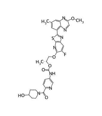 COc1cnc2c(-c3nc4cc(F)c(OC[C@@H](C)OC(=O)Nc5ccc(C(=O)N6CCC(O)CC6)nc5)nc4s3)cc(C)cc2n1